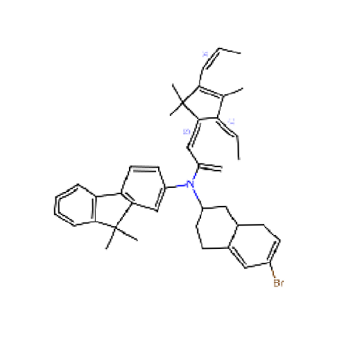 C=C(/C=C1\C(=C/C)C(C)=C(/C=C\C)C1(C)C)N(c1ccc2c(c1)C(C)(C)C1=C2C=C=C=C1)C1CCC2=CC(Br)=CCC2C1